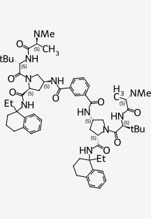 CCC1(NC(=O)[C@@H]2C[C@H](NC(=O)c3cccc(C(=O)N[C@H]4C[C@@H](C(=O)NC5(CC)CCCc6ccccc65)N(C(=O)[C@@H](NC(=O)[C@H](C)NC)C(C)(C)C)C4)c3)CN2C(=O)[C@@H](NC(=O)[C@H](C)NC)C(C)(C)C)CCCc2ccccc21